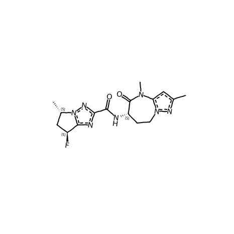 Cc1cc2n(n1)CC[C@H](NC(=O)c1nc3n(n1)[C@@H](C)C[C@@H]3F)C(=O)N2C